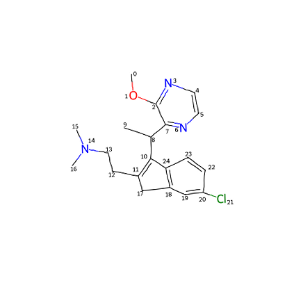 COc1nccnc1C(C)C1=C(CCN(C)C)Cc2cc(Cl)ccc21